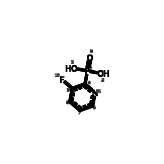 O=P(O)(O)c1ncccc1F